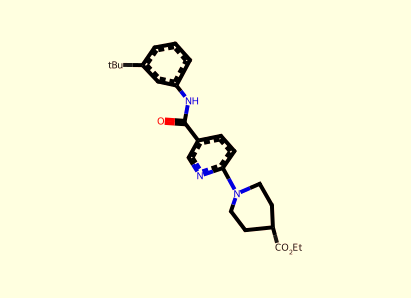 CCOC(=O)C1CCN(c2ccc(C(=O)Nc3cccc(C(C)(C)C)c3)cn2)CC1